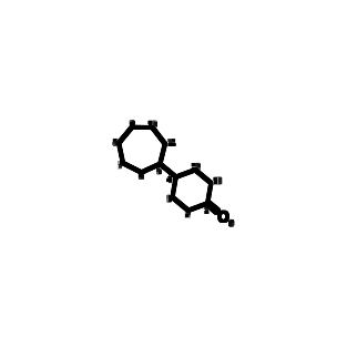 O=C1CCC(C2CCCCCC2)CC1